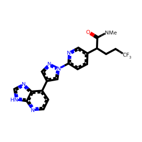 CNC(=O)C(CCC(F)(F)F)c1ccc(-n2cc(-c3ccnc4[nH]cnc34)cn2)nc1